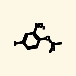 C[SiH](C)Oc1ccc(I)cc1[N+](=O)[O-]